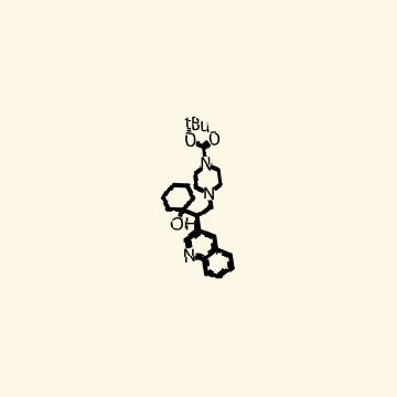 CC(C)(C)OC(=O)N1CCN(CC(c2cnc3ccccc3c2)C2(O)CCCCC2)CC1